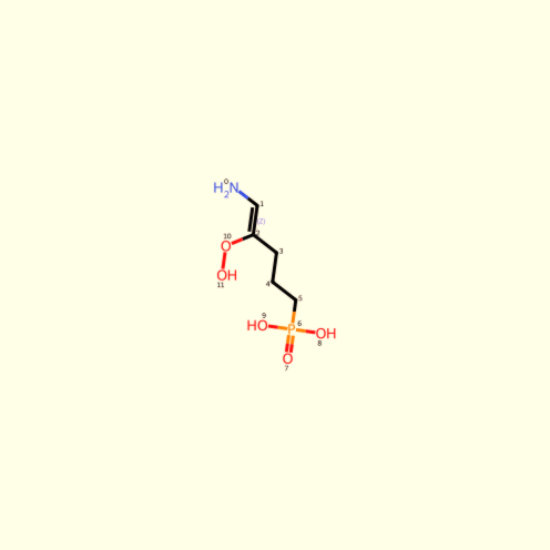 N/C=C(/CCCP(=O)(O)O)OO